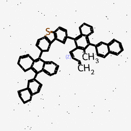 C=C/C=C\c1c(C)c(-c2ccc3ccccc3c2)c2c(c1-c1ccc3sc4c(c3c1)CC(c1c3c(c(-c5ccc6c(c5)C=CCC6)c5ccccc15)CCC=C3)C=C4)CCC=C2